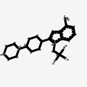 Nc1cccc2c1cc(C1CCC(N3CCOCC3)CC1)n2CC(F)(F)F